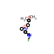 COc1ccc([C@H]2CC[C@H](CN(C(=O)C3CCCCC3)c3cccc(-c4cnn(CCF)c4)c3)CC2)cc1C